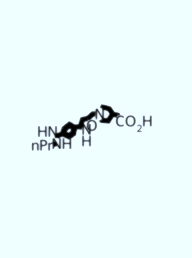 CCCNC(=N)c1ccc(C2CC(CN3CCC(CC(=O)O)CC3)ON2)cc1